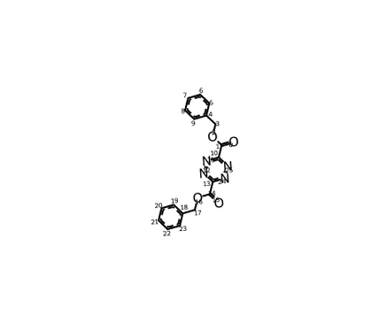 O=C(OCc1ccccc1)c1nnc(C(=O)OCc2ccccc2)nn1